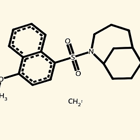 COc1ccc(S(=O)(=O)N2CCCC3CCCC2C3)c2ccccc12.[CH2]